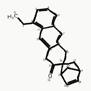 CCc1cccc2cc3c(cc12)CC(=O)C1(C3)CC2C=CC1C2